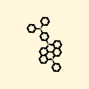 c1ccc(N(c2ccccc2)c2ccc(-n3c4ccc5cccc6c5c4-c4c5c(cccc53)ccc4n6-c3ccccc3)cc2)cc1